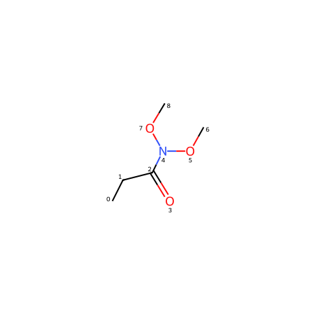 CCC(=O)N(OC)OC